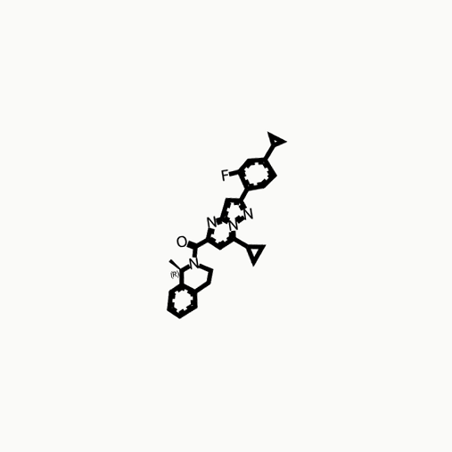 C[C@@H]1c2ccccc2CCN1C(=O)c1cc(C2CC2)n2nc(-c3ccc(C4CC4)cc3F)cc2n1